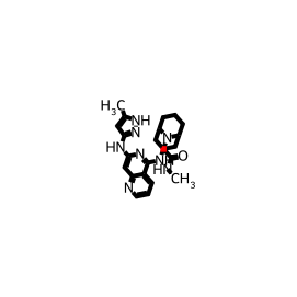 CNC(=O)CN1C2CCCC1CC(Nc1nc(Nc3cc(C)[nH]n3)cc3ncccc13)C2